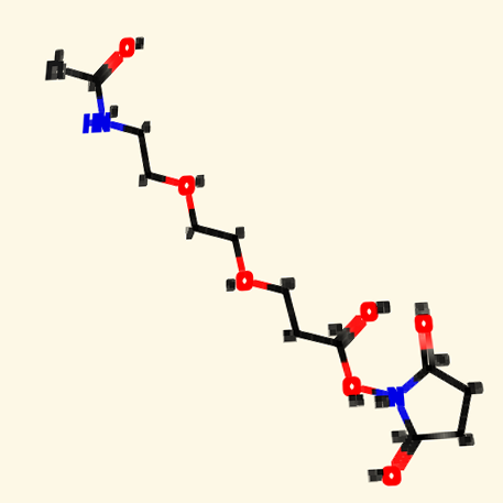 CCC(=O)NCCOCCOCCC(=O)ON1C(=O)CCC1=O